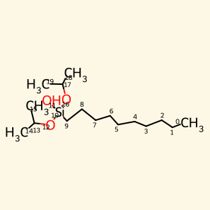 CCCCCCCCCC[Si](O)(OC(C)C)OC(C)C